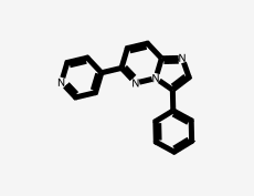 [c]1cccc(-c2cnc3ccc(-c4ccncc4)nn23)c1